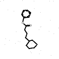 O=C(CCCC1CCCCC1)Oc1ccccc1